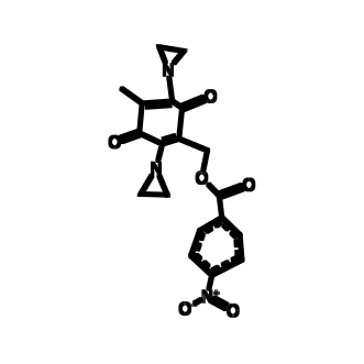 CC1=C(N2CC2)C(=O)C(COC(=O)c2ccc([N+](=O)[O-])cc2)=C(N2CC2)C1=O